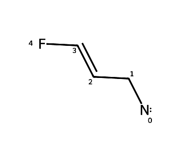 [N]CC=CF